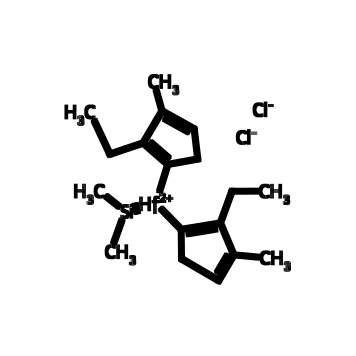 CCC1=[C]([Hf+2]([C]2=C(CC)C(C)=CC2)=[Si](C)C)CC=C1C.[Cl-].[Cl-]